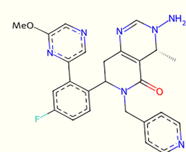 COc1cncc(-c2cc(F)ccc2C2CC3=C(C(=O)N2Cc2ccncc2)[C@@H](C)N(N)C=N3)n1